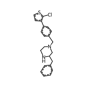 Clc1sccc1-c1ccc(CN2CCNC(Cc3ccccc3)C2)cc1